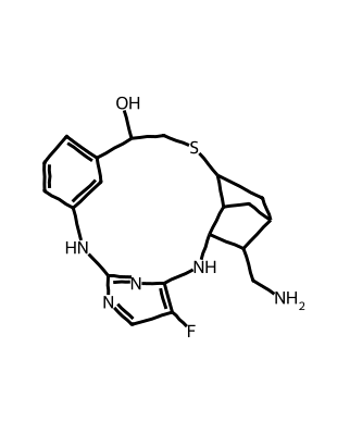 NCC1C2CC3SCC(O)c4cccc(c4)Nc4ncc(F)c(n4)NC1C3C2